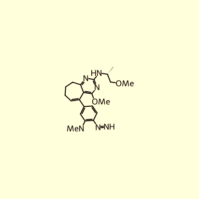 CNc1cc(C2=CCCCc3nc(N[C@H](C)COC)nc(OC)c32)ccc1N=N